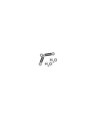 O.O.[O]=[Os]=[O]